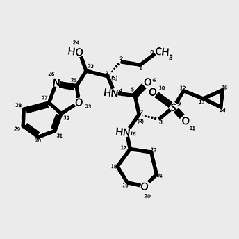 CCC[C@H](NC(=O)[C@H](CS(=O)(=O)CC1CC1)NC1CCOCC1)C(O)c1nc2ccccc2o1